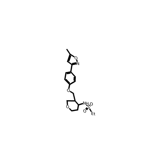 CCS(=O)(=O)NC1CCOCC1COc1ccc(-c2cc(C)on2)cc1